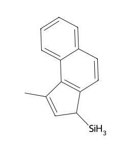 CC1=CC([SiH3])c2ccc3ccccc3c21